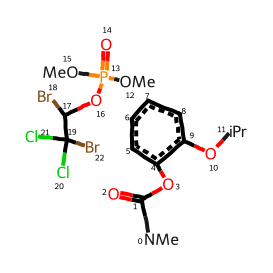 CNC(=O)Oc1ccccc1OC(C)C.COP(=O)(OC)OC(Br)C(Cl)(Cl)Br